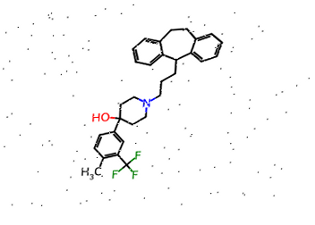 Cc1ccc(C2(O)CCN(CCCC3c4ccccc4CCc4ccccc43)CC2)cc1C(F)(F)F